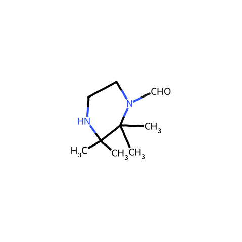 CC1(C)NCCN(C=O)C1(C)C